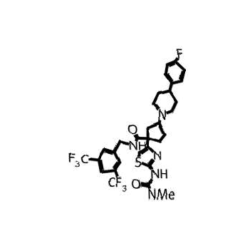 CNC(=O)Nc1nc(C2(C(=O)NCc3cc(C(F)(F)F)cc(C(F)(F)F)c3)CCC(N3CCC(c4ccc(F)cc4)CC3)C2)cs1